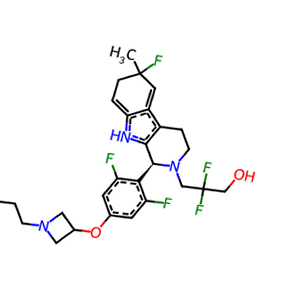 CC1(F)C=c2c3c([nH]c2=CC1)[C@H](c1c(F)cc(OC2CN(CCCF)C2)cc1F)N(CC(F)(F)CO)CC3